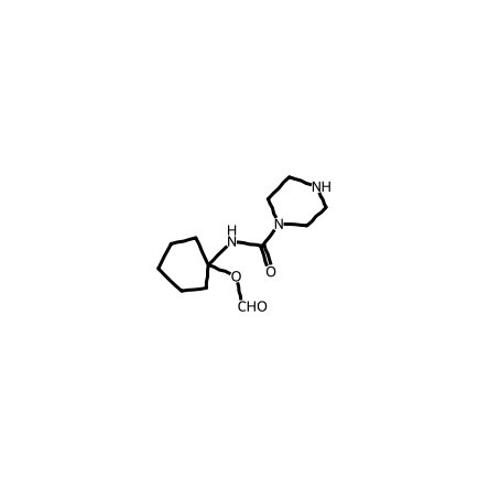 O=COC1(NC(=O)N2CCNCC2)CCCCC1